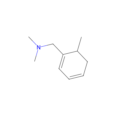 CC1CC=CC=C1CN(C)C